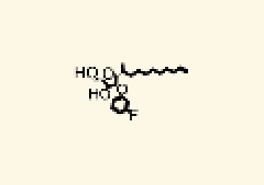 C=CCCCCCCCC(C)[C@H]1O[C@H](CO)[C@@H](O)[C@@H]1Oc1cccc(F)c1